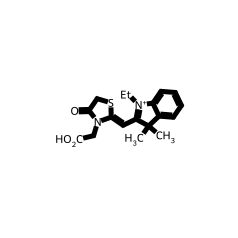 CC[N+]1=C(/C=C2\SCC(=O)N2CC(=O)O)C(C)(C)c2ccccc21